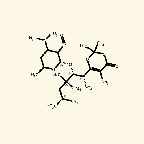 CO[C@](C)(C[C@@H](C)C(=O)O)[C@H](O[C@@H]1OC(C)CC(N(C)C)C1P=O)[C@@H](C)C1=C(C)C(=O)OC(C)(C)O1